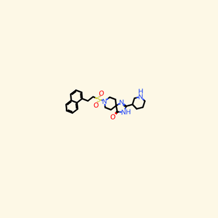 O=C1NC(C2CCCNC2)=NC12CCN(S(=O)(=O)CCc1cccc3ccccc13)CC2